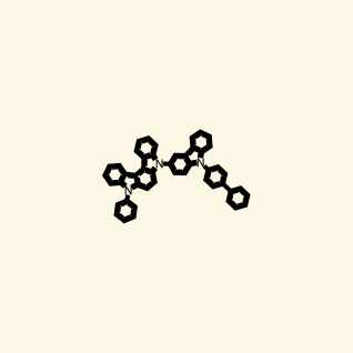 c1ccc(-c2ccc(-n3c4ccccc4c4cc(-n5c6ccccc6c6c7c8ccccc8n(-c8ccccc8)c7ccc65)ccc43)cc2)cc1